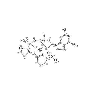 Nc1nc(Cl)nc2c1ncn2[C@@H]1O[C@@H]2C(OC(CCc3cccc(OC(F)(F)F)c3)(C(=O)O)c3nnn[nH]3)[C@]2(O)[C@H]1O